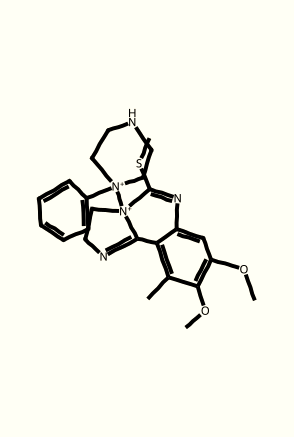 COc1cc2c(c(C)c1OC)C1=NCC[N+]1([N+]1(c3ccccc3)CCNCC1)C(SC)=N2